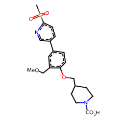 COCc1cc(-c2ccc(S(C)(=O)=O)nc2)ccc1OCC1CCN(C(=O)O)CC1